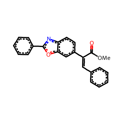 COC(=O)C(=Cc1ccccc1)c1ccc2nc(-c3ccccc3)oc2c1